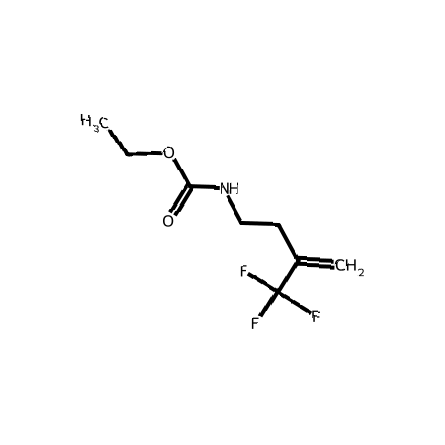 C=C(CCNC(=O)OCC)C(F)(F)F